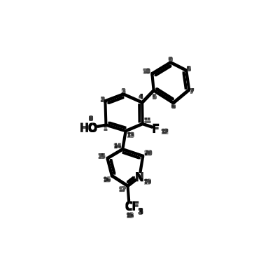 Oc1ccc(-c2ccccc2)c(F)c1-c1ccc(C(F)(F)F)nc1